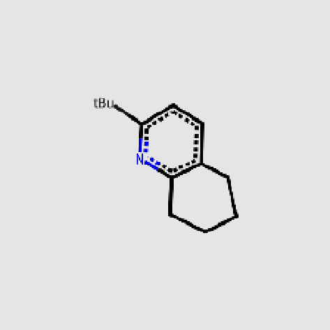 CC(C)(C)c1ccc2c(n1)CCCC2